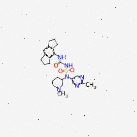 Cc1ncc(N(C2CCCN(C)C2)S(=O)(=O)NC(=O)Nc2c3c(cc4c2CCC4)CCC3)cn1